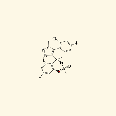 Cc1nn(C)c(C2(c3c(F)cc(F)cc3I)CN2S(C)(=O)=O)c1-c1ccc(F)cc1Cl